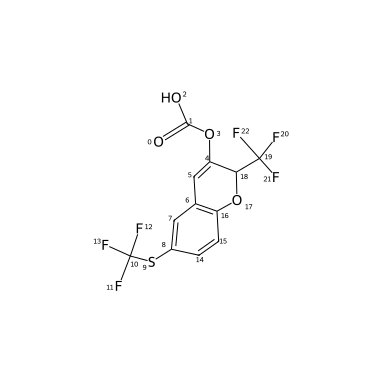 O=C(O)OC1=Cc2cc(SC(F)(F)F)ccc2OC1C(F)(F)F